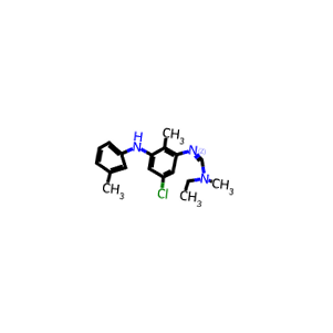 CCN(C)/C=N\c1cc(Cl)cc(Nc2cccc(C)c2)c1C